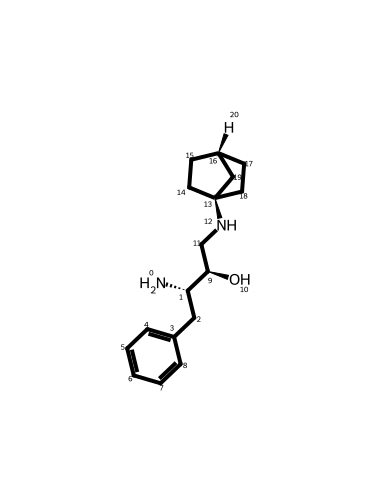 N[C@@H](Cc1ccccc1)[C@H](O)CN[C@]12CC[C@H](CC1)C2